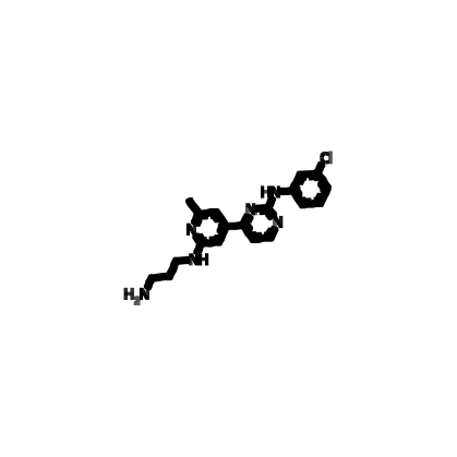 Cc1cc(-c2ccnc(Nc3cccc(Cl)c3)n2)cc(NCCCN)n1